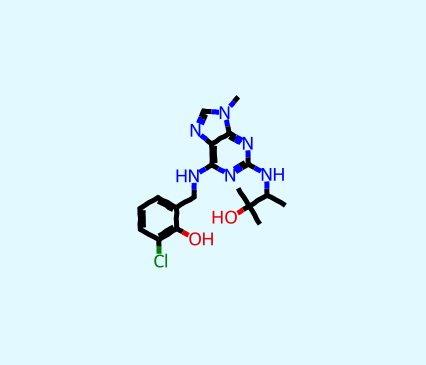 CC(Nc1nc(NCc2cccc(Cl)c2O)c2ncn(C)c2n1)C(C)(C)O